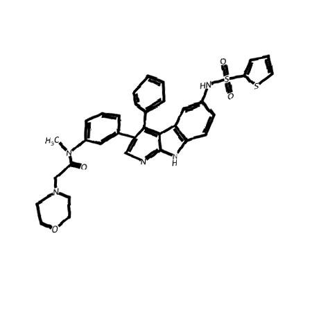 CN(C(=O)CN1CCOCC1)c1cccc(-c2cnc3[nH]c4ccc(NS(=O)(=O)c5cccs5)cc4c3c2-c2ccccc2)c1